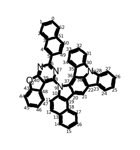 c1ccc2cc(-c3nc(-n4c5ccc6ccccc6c5c5cc6c7ccccc7n7c8ccccc8c(c54)c67)c4c(n3)oc3ccccc34)ccc2c1